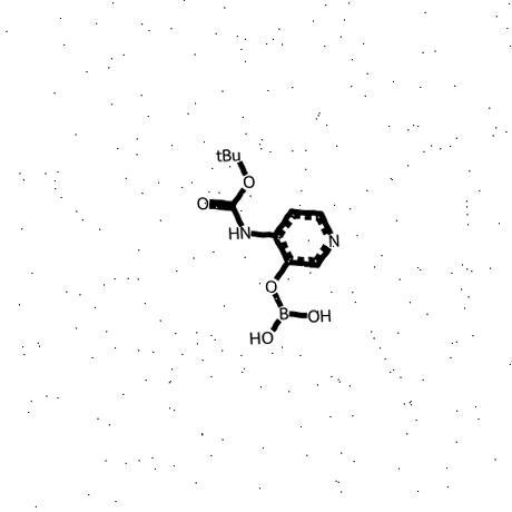 CC(C)(C)OC(=O)Nc1ccncc1OB(O)O